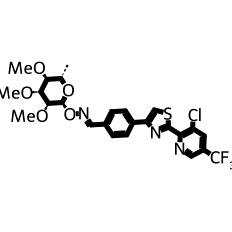 CO[C@@H]1[C@@H](OC)[C@H](C)O[C@@H](O/N=C/c2ccc(-c3csc(-c4ncc(C(F)(F)F)cc4Cl)n3)cc2)[C@@H]1OC